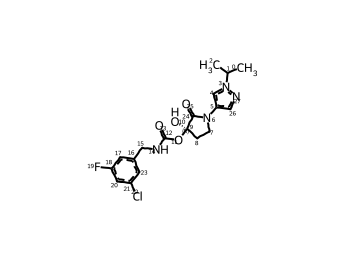 CC(C)n1cc(N2CC[C@@](O)(OC(=O)NCc3cc(F)cc(Cl)c3)C2=O)cn1